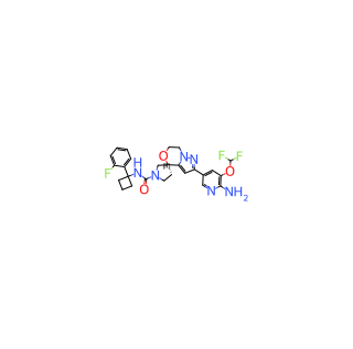 Nc1ncc(-c2cc3n(n2)CCO[C@@]32CCN(C(=O)NC3(c4ccccc4F)CCC3)C2)cc1OC(F)F